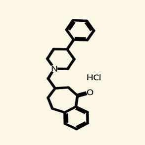 Cl.O=C1CC(CN2CCC(c3ccccc3)CC2)CCc2ccccc21